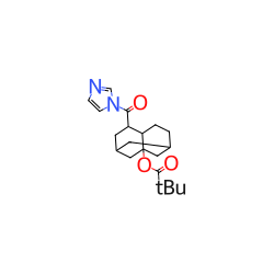 CC(C)(C)C(=O)OC12CC3CCC1C(C(=O)n1ccnc1)CC(C3)C2